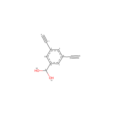 C#Cc1cc(C#C)cc(C(O)O)c1